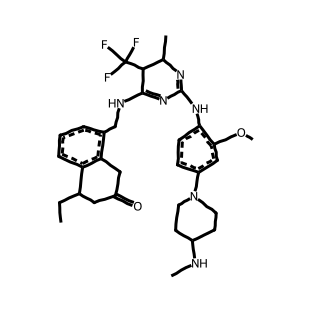 CCC1CC(=O)Cc2c(CNC3=NC(Nc4ccc(N5CCC(NC)CC5)cc4OC)=NC(C)C3C(F)(F)F)cccc21